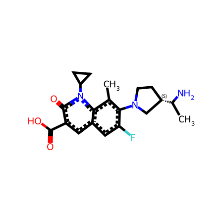 Cc1c(N2CC[C@H](C(C)N)C2)c(F)cc2cc(C(=O)O)c(=O)n(C3CC3)c12